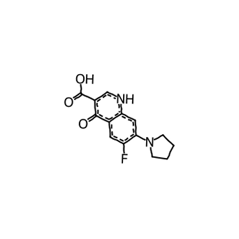 O=C(O)c1c[nH]c2cc(N3CCCC3)c(F)cc2c1=O